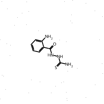 NC(=S)NNC(=O)c1ccccc1N